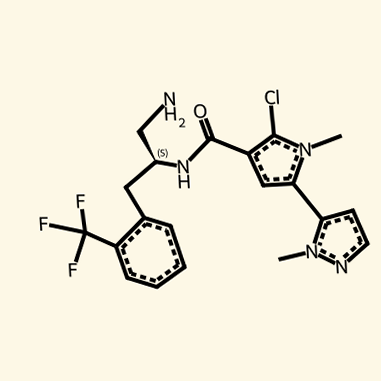 Cn1nccc1-c1cc(C(=O)N[C@H](CN)Cc2ccccc2C(F)(F)F)c(Cl)n1C